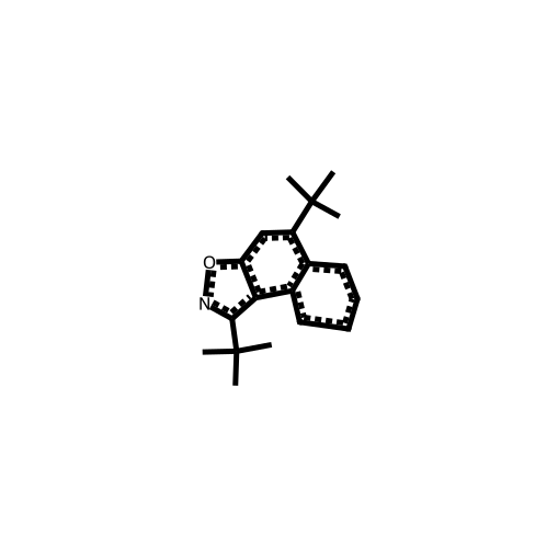 CC(C)(C)c1cc2onc(C(C)(C)C)c2c2ccccc12